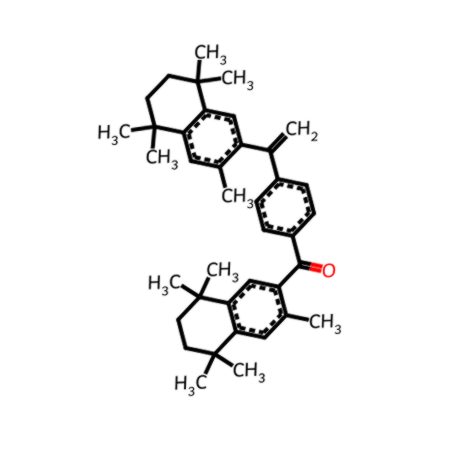 C=C(c1ccc(C(=O)c2cc3c(cc2C)C(C)(C)CCC3(C)C)cc1)c1cc2c(cc1C)C(C)(C)CCC2(C)C